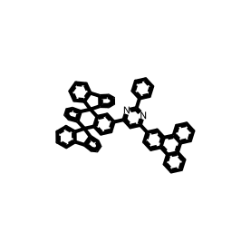 c1ccc(-c2nc(-c3ccc4c(c3)C3(c5ccccc5-c5ccccc53)c3ccccc3C43c4ccccc4-c4ccccc43)cc(-c3ccc4c5ccccc5c5ccccc5c4c3)n2)cc1